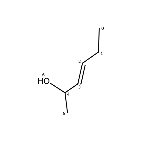 CCC=[C]C(C)O